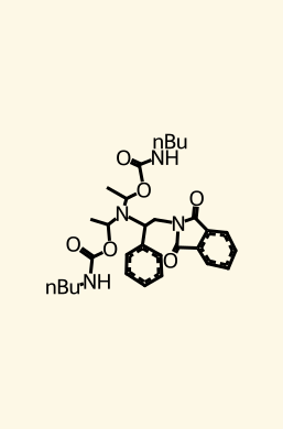 CCCCNC(=O)OC(C)N(C(C)OC(=O)NCCCC)C(CN1C(=O)c2ccccc2C1=O)c1ccccc1